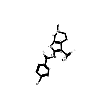 CN1CCc2c(sc(NC(=O)c3ccc(I)cc3)c2C(N)=O)C1